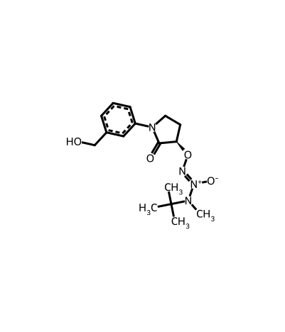 CN(/[N+]([O-])=N/O[C@@H]1CCN(c2cccc(CO)c2)C1=O)C(C)(C)C